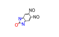 O=Nc1cc2c(cc1N=O)=NC(=O)N=2